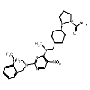 CN(Cc1ccccc1OC(F)(F)F)c1ncc([N+](=O)[O-])c(N(C)C[C@H]2CC[C@H](N3CCC[C@H]3C(N)=O)CC2)n1